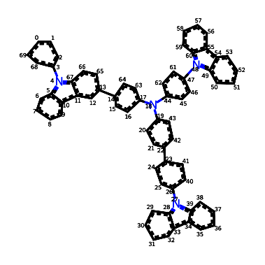 c1ccc(-n2c3ccccc3c3cc(-c4ccc(N(c5ccc(-c6ccc(-n7c8ccccc8c8ccccc87)cc6)cc5)c5ccc(-n6c7ccccc7c7ccccc76)cc5)cc4)ccc32)cc1